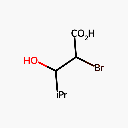 CC(C)C(O)C(Br)C(=O)O